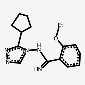 CCOc1ccccc1C(=N)Nn1cnnc1C1CCCC1